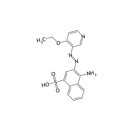 CCOc1ccncc1N=Nc1cc(S(=O)(=O)O)c2ccccc2c1N